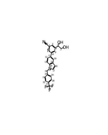 N#Cc1cc([C@@H](O)CO)cc(-c2ccc3c(ccn3Cc3ccc(C(F)(F)F)cc3)c2)n1